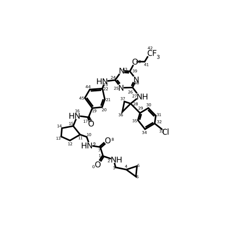 O=C(NCC1CC1)C(=O)NCC1CCCC1NC(=O)c1ccc(Nc2nc(NC3(c4ccc(Cl)cc4)CC3)nc(OCC(F)(F)F)n2)cc1